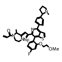 C=CC(=O)N1CCn2nc(-c3nc(-c4ccc(C5CCCN5C)cc4)c4ccsc4c3-c3c(F)cc(F)cc3OCCOC)cc2C1C